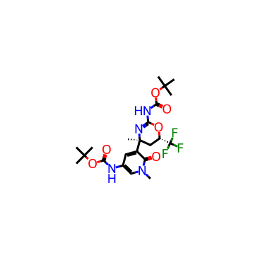 Cn1cc(NC(=O)OC(C)(C)C)cc([C@]2(C)C[C@@H](C(F)(F)F)OC(NC(=O)OC(C)(C)C)=N2)c1=O